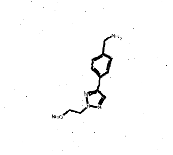 COCCn1ncc(-c2ccc(CN)cc2)n1